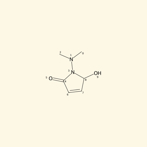 CN(C)N1C(=O)C=CC1O